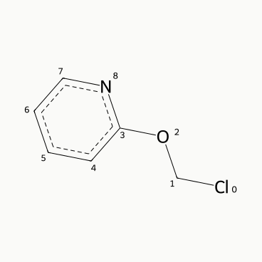 ClCOc1ccccn1